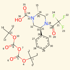 CC(C)(C)OC(=O)OC(=O)OC(C)(C)C.C[C@@H]1CN(C(=O)C(F)(F)F)[C@@H](c2ccccc2)CN1C(=O)O